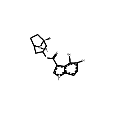 [2H]c1ccc2[nH]cc(C(=O)OC3CC4CC[C@H](C3)N4C)c2c1[2H]